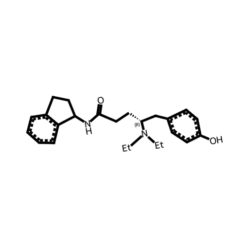 CCN(CC)[C@H](CCC(=O)NC1CCc2ccccc21)Cc1ccc(O)cc1